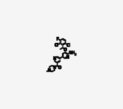 CC(Oc1cc(-c2cncc(C(=O)N3CCN(C)CC3)c2)cnc1N)c1c(Cl)ccc(F)c1Cl